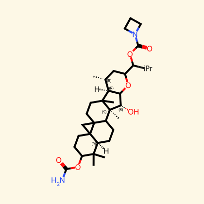 CC(C)C(OC(=O)N1CCC1)C1C[C@@H](C)[C@H]2C(O1)[C@H](O)[C@@]1(C)C3CC[C@H]4C(C)(C)C(OC(N)=O)CCC45CC35CCC21C